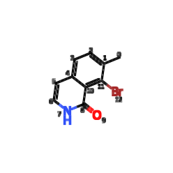 Cc1ccc2cc[nH]c(=O)c2c1Br